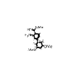 CNC(=N)c1ccc(-c2c(F)c(OC)cc(OC)c2F)cc1N